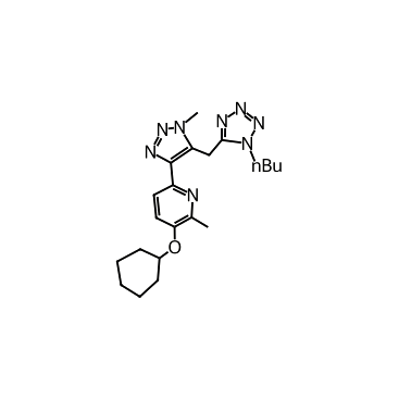 CCCCn1nnnc1Cc1c(-c2ccc(OC3CCCCC3)c(C)n2)nnn1C